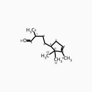 CC1=CCC(CCC(C)C=O)C1(C)C